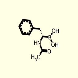 CC(=O)N[C@H](Cc1ccccc1)B(O)O